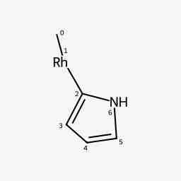 [CH3][Rh][c]1ccc[nH]1